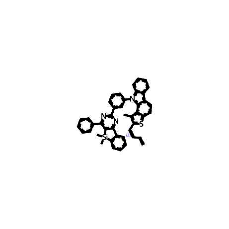 C=C/C=C\c1sc2ccc3c4ccccc4n(-c4cccc(-c5nc(-c6ccccc6)c6c(n5)-c5ccccc5[Si]6(C)C)c4)c3c2c1C